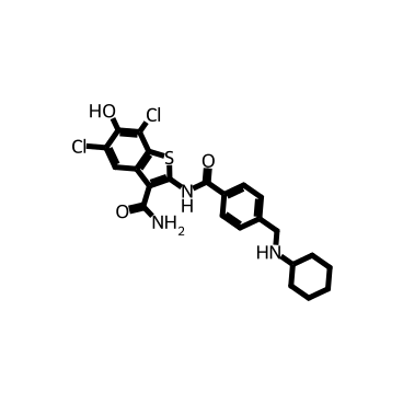 NC(=O)c1c(NC(=O)c2ccc(CNC3CCCCC3)cc2)sc2c(Cl)c(O)c(Cl)cc12